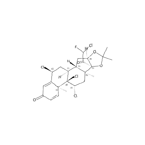 CC1(C)O[C@@H]2C[C@H]3[C@@H]4C[C@H](Cl)C5=CC(=O)C=C[C@]5(C)[C@@]4(Cl)[C@@H](Cl)C[C@]3(C)[C@]2(C(=O)C(F)Cl)O1